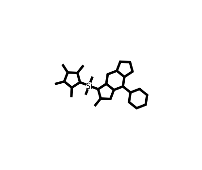 CC1CC2C(CC3CCCC3C2C2CCCCC2)C1[Si](C)(C)C1C(C)C(C)C(C)C1C